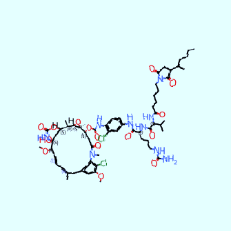 CCCCC(C)C1CC(=O)N(CCCCCC(=O)N[C@H](C(=O)N[C@@H](CCCNC(N)=O)C(=O)Nc2ccc(NC(=O)O[C@H]3CC(=O)N(C)c4cc(cc(OC)c4Cl)C/C(C)=C/C=C/[C@@H](OC)[C@@]4(O)C[C@H](OC(=O)N4)[C@@H](C)[C@@H]4O[C@@]34C)c(Cl)c2)C(C)C)C1=O